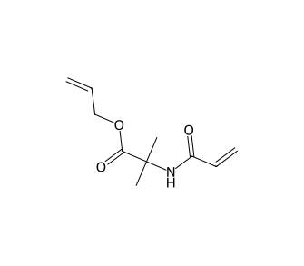 C=CCOC(=O)C(C)(C)NC(=O)C=C